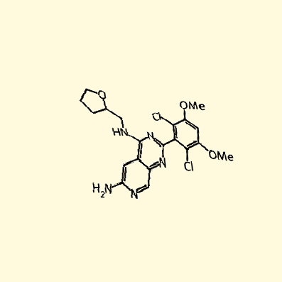 COc1cc(OC)c(Cl)c(-c2nc(NCC3CCCO3)c3cc(N)ncc3n2)c1Cl